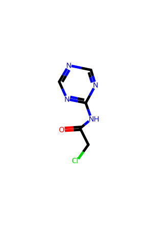 O=C(CCl)Nc1ncncn1